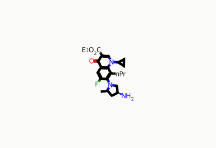 CCCc1c(N2C[C@@H](N)CC2C)c(F)cc2c(=O)c(C(=O)OCC)cn(C3CC3)c12